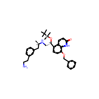 C[C@H](Cc1cccc(CCN)c1)NC[C@H](O[Si](C)(C)C(C)(C)C)c1ccc(OCc2ccccc2)c2[nH]c(=O)ccc12